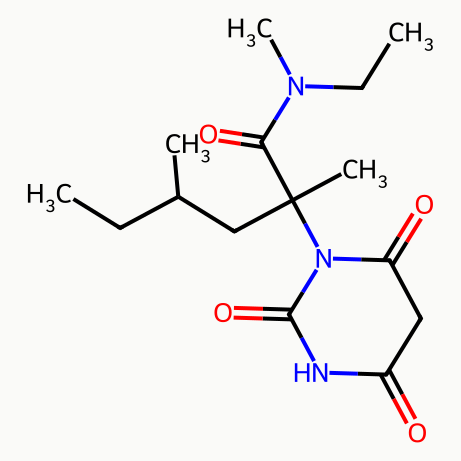 CCC(C)CC(C)(C(=O)N(C)CC)N1C(=O)CC(=O)NC1=O